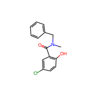 CN(Cc1ccccc1)C(=O)c1cc(Cl)ccc1O